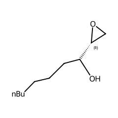 CCCCCCCC(O)[C@H]1CO1